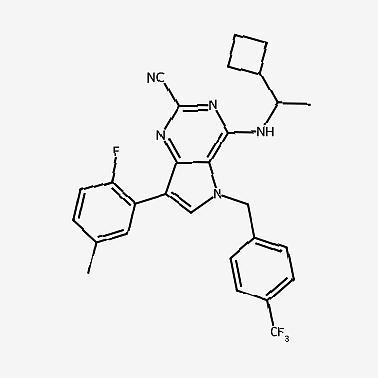 Cc1ccc(F)c(-c2cn(Cc3ccc(C(F)(F)F)cc3)c3c(NC(C)C4CCC4)nc(C#N)nc23)c1